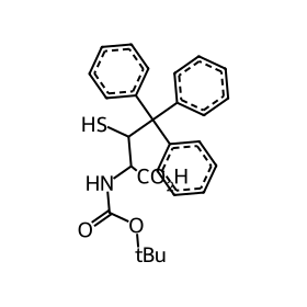 CC(C)(C)OC(=O)NC(C(=O)O)C(S)C(c1ccccc1)(c1ccccc1)c1ccccc1